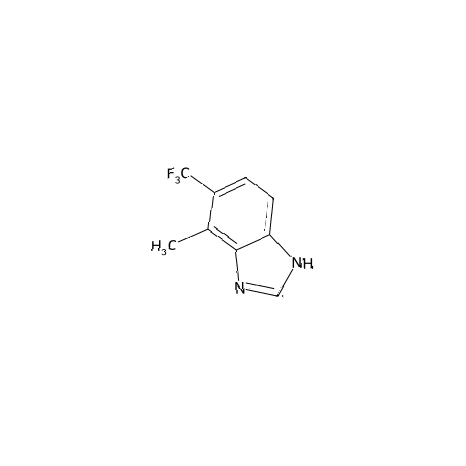 Cc1c(C(F)(F)F)ccc2[nH][c]nc12